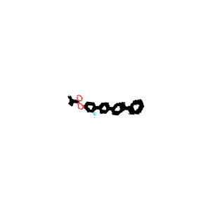 C=C(C)C(=O)Oc1ccc(-c2ccc(-c3ccc(-c4ccccc4)cc3)cc2)c(F)c1